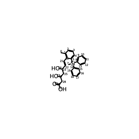 Cc1cccc([Si](C)(c2ccccc2)c2ccccc2)c1/C=C/C(O)CC(O)CC(=O)O